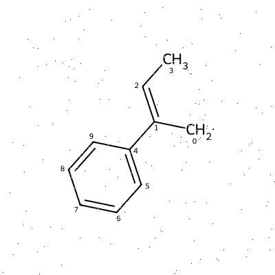 [CH2]C(=CC)c1ccccc1